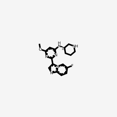 COc1cc(N[C@@H]2CCCNC2)nc(-c2cnc3ccc(F)cn23)n1